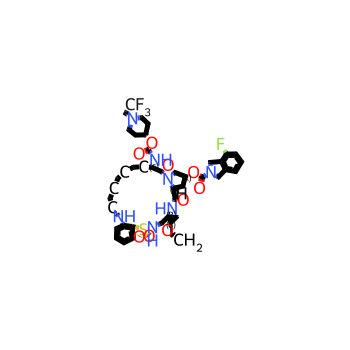 C=C[C@@H]1C[C@@]12NC(=O)[C@@H]1C[C@@H](OC(=O)N3Cc4cccc(F)c4C3)CN1C(=O)[C@@H](NC(=O)OC1CCN(CC(F)(F)F)CC1)CCCCCCCNc1ccccc1S(=O)(=O)NC2=O